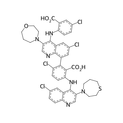 O=C(O)c1cc(Cl)ccc1Nc1c(N2CCCOCC2)cnc2c(-c3c(Cl)ccc(Nc4c(N5CCCSCC5)cnc5ccc(Cl)cc45)c3C(=O)O)cc(Cl)cc12